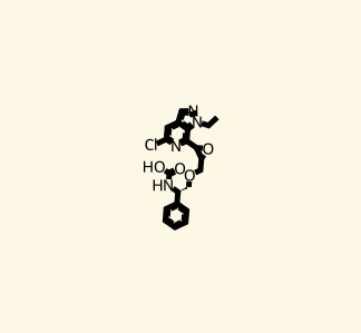 CCn1ncc2cc(Cl)nc(C3OC3COC[C@@H](NC(=O)O)c3ccccc3)c21